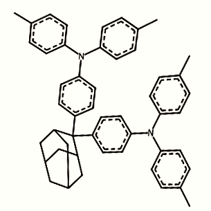 Cc1ccc(N(c2ccc(C)cc2)c2ccc(C3(c4ccc(N(c5ccc(C)cc5)c5ccc(C)cc5)cc4)C4CC5CC(C4)CC3C5)cc2)cc1